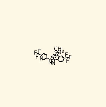 CCS(=O)(=O)c1cc(C(F)(F)F)ccc1-c1nnc(-c2ccc(C(F)(F)F)nc2)s1